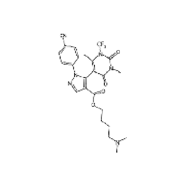 Cc1c(-c2c(C(=O)OCCCCN(C)C)cnn2-c2ccc(C#N)cc2)c(=O)n(C)c(=O)n1C(F)(F)F